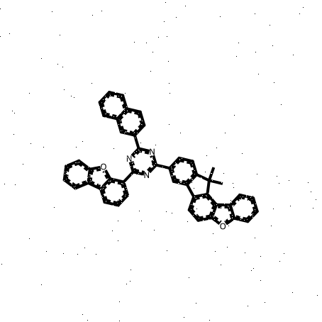 CC1(C)c2ccc(-c3nc(-c4ccc5ccccc5c4)nc(-c4cccc5c4oc4ccccc45)n3)cc2-c2ccc3oc4ccccc4c3c21